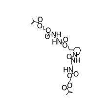 C=C(C)C(=O)OCCOC(=O)NCCNC(=O)OCCC1CCCCN1C(=O)NCCNC(=O)OCCOC(=O)C(=C)C